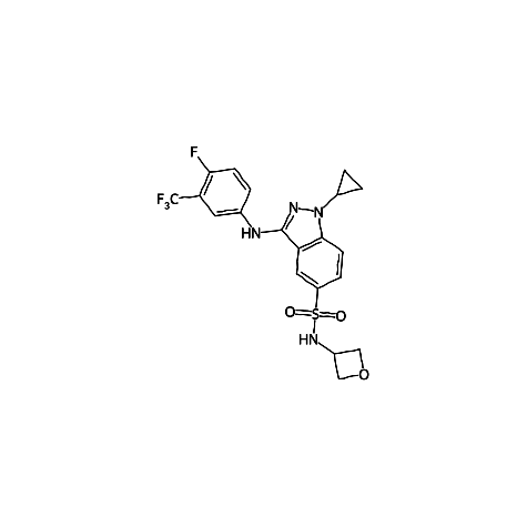 O=S(=O)(NC1COC1)c1ccc2c(c1)c(Nc1ccc(F)c(C(F)(F)F)c1)nn2C1CC1